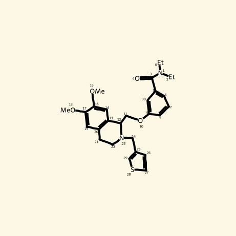 CCN(CC)C(=O)c1cccc(OCC2c3cc(OC)c(OC)cc3CCN2Cc2ccsc2)c1